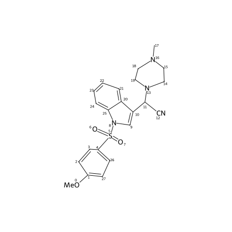 COc1ccc(S(=O)(=O)n2cc(C(C#N)N3CCN(C)CC3)c3ccccc32)cc1